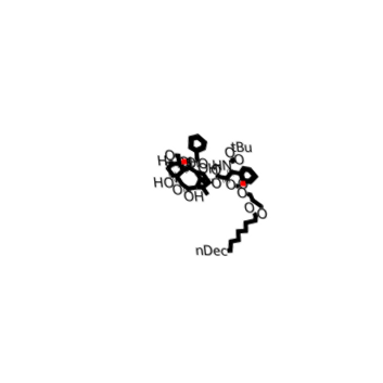 CCCCCCCCCCCCCCCCCC1OCC(COC(=O)O[C@@H](C(=O)O[C@H]2C[C@@]3(O)[C@@H](OC(=O)c4ccccc4)[C@@H]4[C@]5(O)CO[C@@H]5C[C@H](O)[C@@]4(C)C(=O)[C@H](O)C(=C2C)C3(C)C)[C@@H](NC(=O)OC(C)(C)C)c2ccccc2)O1